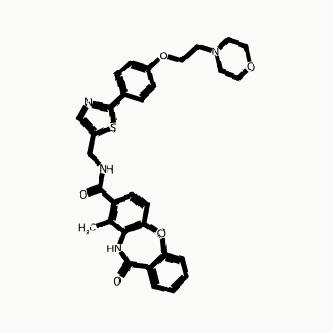 Cc1c(C(=O)NCc2cnc(-c3ccc(OCCN4CCOCC4)cc3)s2)ccc2c1NC(=O)c1ccccc1O2